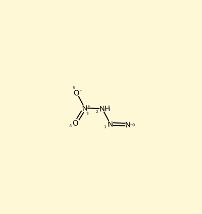 [N]=NN[N+](=O)[O-]